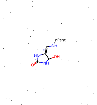 CCCCCN/C=C1/NC(=O)NC1O